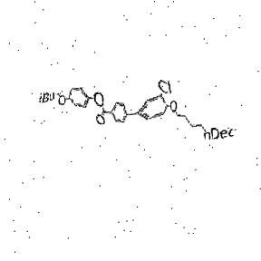 CCCCCCCCCCCCCCOc1ccc(-c2ccc(C(=O)Oc3ccc(OC[C@@H](C)CC)cc3)cc2)cc1Cl